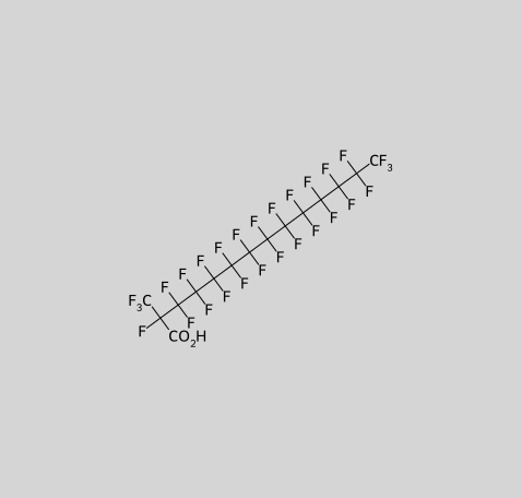 O=C(O)C(F)(C(F)(F)F)C(F)(F)C(F)(F)C(F)(F)C(F)(F)C(F)(F)C(F)(F)C(F)(F)C(F)(F)C(F)(F)C(F)(F)C(F)(F)C(F)(F)F